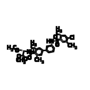 COC[C@H](NC(=O)c1c(C)cc(-c2cccc(NS(=O)(=O)c3cc(C)c(Cl)cc3C)c2)cc1C)C(=O)OC